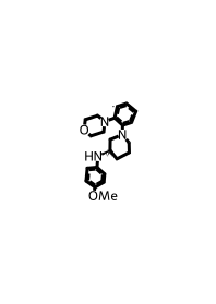 COc1ccc(N[C@@H]2CCCN(c3ccc[c]c3N3CCOCC3)C2)cc1